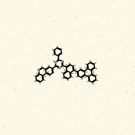 c1ccc(-c2nc(-c3ccc4c(cnc5ccccc54)c3)nc(-c3ccc(-c4ccc5c6ccccc6c6ccccc6c5c4)c4ccccc34)n2)cc1